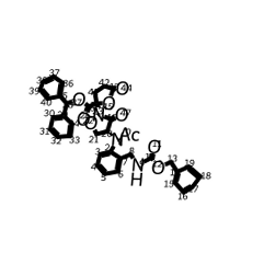 CC(=O)N(c1ccccc1CNC(=O)OCc1ccccc1)[C@H]1CON(C2(C(=O)OC(c3ccccc3)c3ccccc3)CCC(=O)O2)C1=O